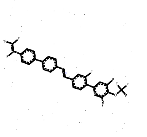 FC(F)=C(F)c1ccc(-c2ccc(/C=C/c3ccc(-c4cc(F)c(OC(F)(F)F)c(F)c4)c(F)c3)cc2)cc1